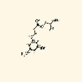 CCCCC(CC)COC(=O)CCSc1cc(Br)cc(C(F)(F)F)c1